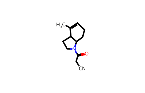 CC1=CCCC2C1CCN2C(=O)CC#N